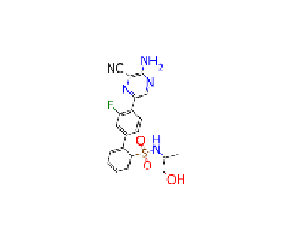 CC(CO)NS(=O)(=O)c1ccccc1-c1ccc(-c2cnc(N)c(C#N)n2)c(F)c1